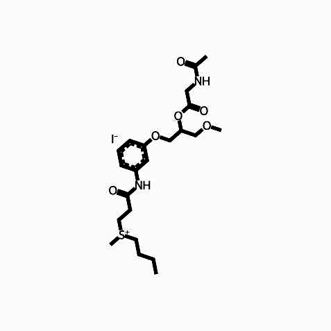 CCCC[S+](C)CCC(=O)Nc1cccc(OCC(COC)OC(=O)CNC(C)=O)c1.[I-]